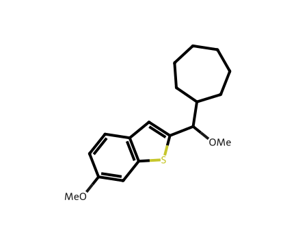 COc1ccc2cc(C(OC)C3CCCCCC3)sc2c1